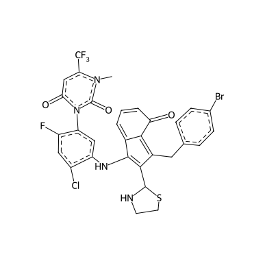 Cn1c(C(F)(F)F)cc(=O)n(-c2cc(NC3=C(C4NCCS4)C(Cc4ccc(Br)cc4)=C4C(=O)C=CC=C34)c(Cl)cc2F)c1=O